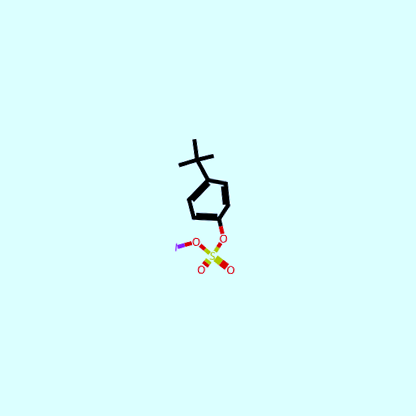 CC(C)(C)c1ccc(OS(=O)(=O)OI)cc1